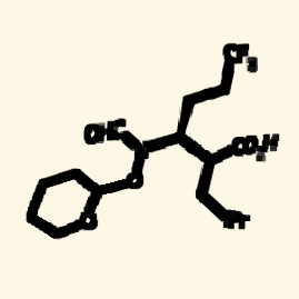 CC(C)CC(C(=O)O)[C@H](CCC(F)(F)F)N(C=O)OC1CCCCO1